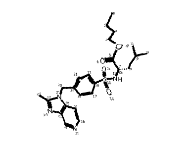 CCCCOC(=O)[C@H](CC(C)C)NS(=O)(=O)c1ccc(Cn2c(C)nc3cnccc32)cc1